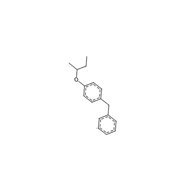 CCC(C)Oc1ccc(Cc2c[c]ccc2)cc1